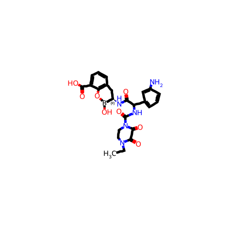 CCN1CCN(C(=O)NC(C(=O)N[C@H]2Cc3cccc(C(=O)O)c3OB2O)c2cccc(N)c2)C(=O)C1=O